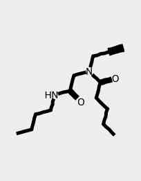 C#CCN(CC(=O)NCCCC)C(=O)CCCC